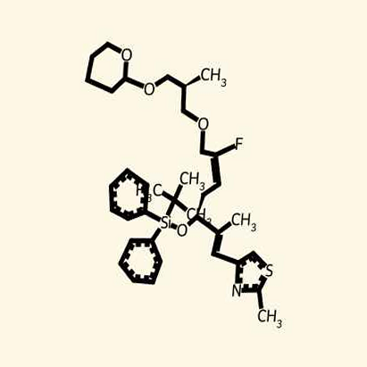 C/C(=C\c1csc(C)n1)[C@H](C/C=C(/F)COC[C@H](C)COC1CCCCO1)O[Si](c1ccccc1)(c1ccccc1)C(C)(C)C